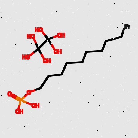 CC(C)CCCCCCCCCOP(=O)(O)O.OC(O)(O)C(O)(O)O